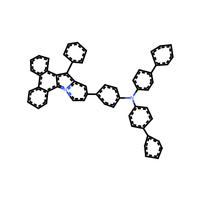 c1ccc(-c2ccc(N(c3ccc(-c4ccccc4)cc3)c3ccc(-c4ccn5c(c4)c(-c4ccccc4)c4c6ccccc6c6ccccc6c45)cc3)cc2)cc1